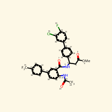 COC(=O)CC(NC(=O)c1cc(-c2ccc(C(F)(F)F)cc2)ccc1NC(=O)C(F)(F)F)c1ccc(-c2ccc(F)c(Cl)c2)cc1